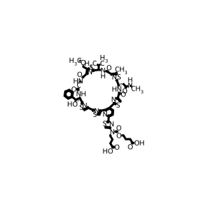 CNC(=O)C[C@@H]1NC(=O)c2csc(n2)-c2ccc(-c3nc(N(CCCC(=O)O)C(=O)OCCCC(=O)O)cs3)nc2-c2csc(n2)-c2csc(n2)[C@H]([C@@H](O)c2ccccc2)NC(=O)CNC(=O)c2nc(sc2COC)C(C(C)C)NC(=O)c2nc1sc2C